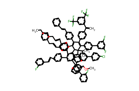 C=C(c1ccc(C2=C(c3ccc(-c4cc(F)cc(F)c4)cc3)C(c3ccc(-c4ccccc4COC)cc3)(C(C)C)C(c3c(-c4ccc(/C=C/CCCCCC)cc4)c(-c4ccc(/C=C/c5cccc(F)c5)cc4)[c]c(-c4ccc(-c5ccccc5F)cc4)c3-c3ccc(-c4ccc(Cl)cc4)cc3)C(c3ccc(/C=C/Cc4ccccc4)cc3)=C2c2ccc(/C=C/c3ccccc3)cc2)cc1)c1cc(C(F)(F)F)cc(C(F)(F)F)c1